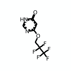 O=c1cc(OCC(F)(F)C(F)(F)F)nc[nH]1